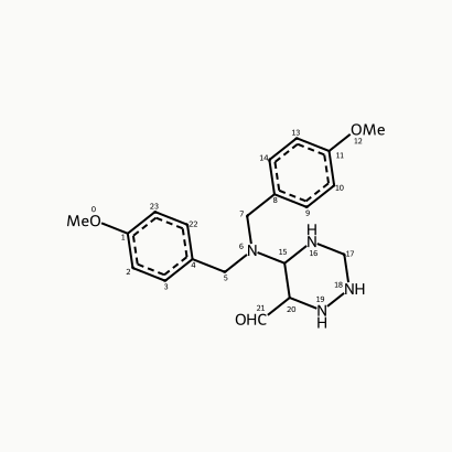 COc1ccc(CN(Cc2ccc(OC)cc2)C2NCNNC2C=O)cc1